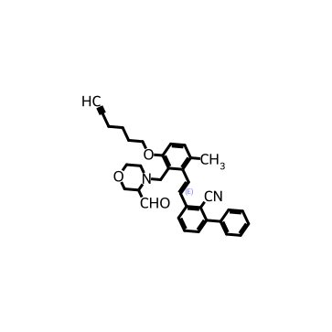 C#CCCCCOc1ccc(C)c(/C=C/c2cccc(-c3ccccc3)c2C#N)c1CN1CCOCC1C=O